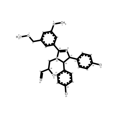 COCc1cc(OC)cc(C2=NC(c3ccc(Cl)cc3)C(c3ccc(Cl)cc3)N2CC(C)C=O)c1